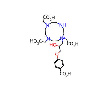 O=C(O)CN1CCNCC[N+](CC(=O)O)(CC(O)COc2ccc(C(=O)O)cc2)CCN(CC(=O)O)CC1